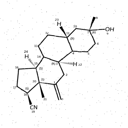 C=C1C[C@@H]2C3CC[C@@](C)(O)C[C@H]3CCC2[C@@H]2CC[C@H](C#N)[C@@]12C